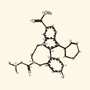 COC(=O)c1ccc2c(C3CCCCC3)c3n(c2c1)CCN(C(=O)CN(C)C)Cc1cc(F)ccc1-3